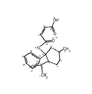 CC1CCC(C(C)C)C(OC(=O)/C=C\C(=O)O)(c2ccccc2)C1